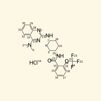 CN(C)c1nc(N[C@H]2CC[C@@H](NC(=O)c3ccccc3OC(F)(F)F)CC2)nc2ccccc12.Cl